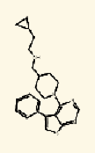 c1ccc(-c2csc3ncnc(N4CCC(CNCCC5CC5)CC4)c23)cc1